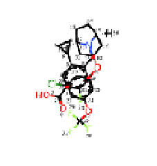 O=C(O)c1cc(C2CC2)c(CN2[C@@H]3CC[C@H]2C[C@@H](Oc2cc(Cl)cc(OC(F)(F)F)c2)C3)cc1F